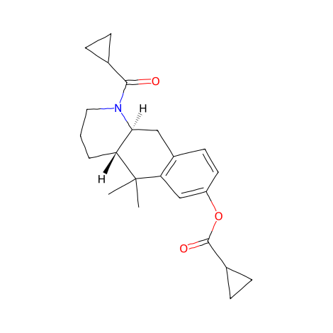 CC1(C)c2cc(OC(=O)C3CC3)ccc2C[C@H]2[C@H]1CCCN2C(=O)C1CC1